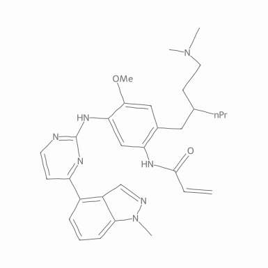 C=CC(=O)Nc1cc(Nc2nccc(-c3cccc4c3cnn4C)n2)c(OC)cc1CC(CCC)CCN(C)C